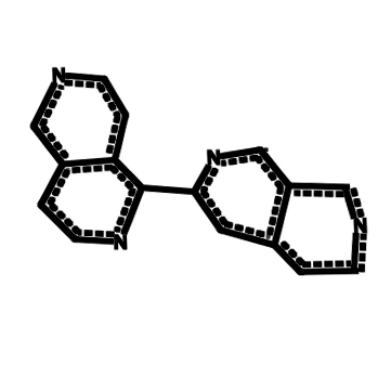 [c]1nc(-c2nccc3cnccc23)cc2ccncc12